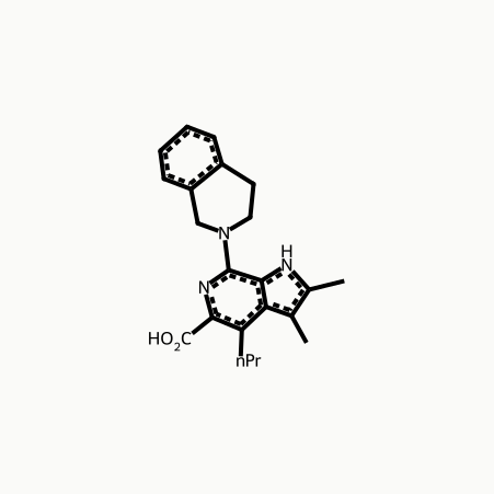 CCCc1c(C(=O)O)nc(N2CCc3ccccc3C2)c2[nH]c(C)c(C)c12